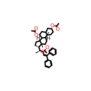 CC(=O)O[C@@H]1CC[C@@]2(C)C(C1)C[C@@H](OC(C)=O)C1[C@@H]3CC[C@H]([C@H](C)CC=C(c4ccccc4)c4ccccc4)[C@@]3(C)[C@@H](OC(C)=O)C[C@@H]12